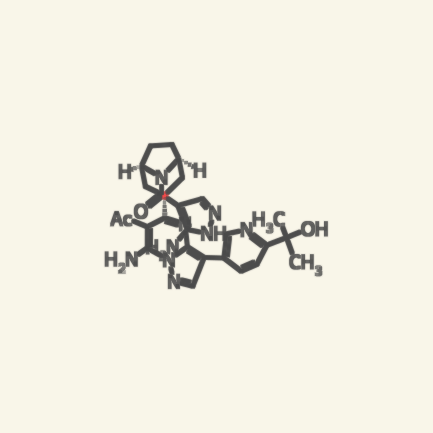 CC(=O)c1c([C@@H]2C[C@H]3CC[C@@H](C2)N3C(=O)c2cn[nH]c2N)nc2c(-c3ccc(C(C)(C)O)nc3)cnn2c1N